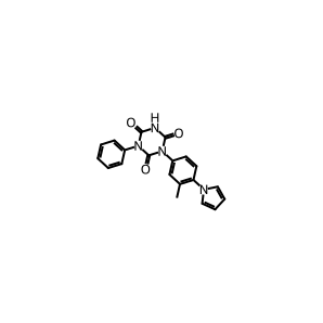 Cc1cc(-n2c(=O)[nH]c(=O)n(-c3ccccc3)c2=O)ccc1-n1cccc1